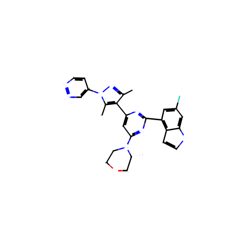 Cc1nn(-c2ccnnc2)c(C)c1-c1cc(N2CCOC[C@H]2C)nc(-c2cc(F)cc3[nH]ccc23)n1